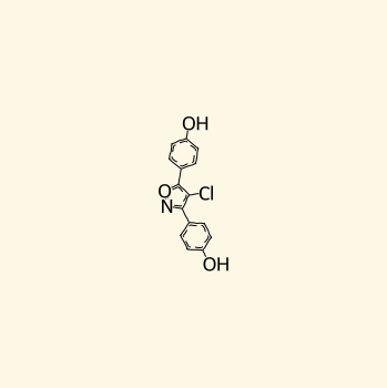 Oc1ccc(-c2noc(-c3ccc(O)cc3)c2Cl)cc1